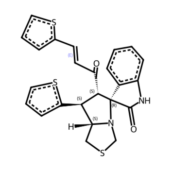 O=C(/C=C/c1cccs1)[C@H]1[C@H](c2cccs2)[C@H]2CSCN2[C@]12C(=O)Nc1ccccc12